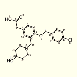 O=C(O)Cc1ccc(OCc2ccc(Cl)cc2)c(CN2CCC(O)CC2)c1